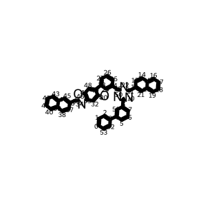 c1ccc(-c2cccc(-c3nc(-c4ccc5ccccc5c4)nc(-c4cccc5c4oc4cc6nc(-c7ccc8ccccc8c7)oc6cc45)n3)c2)cc1